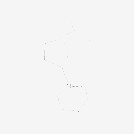 CC(C)C1(C)CCC(N2CCOCC2)C1